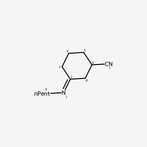 CCCCCN=C1CCCC(C#N)C1